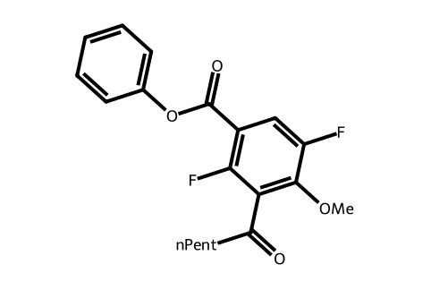 CCCCCC(=O)c1c(F)c(C(=O)Oc2ccccc2)cc(F)c1OC